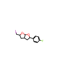 Fc1ccc(C2CC3CC(CI)OC3O2)cc1